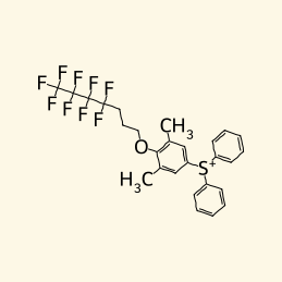 Cc1cc([S+](c2ccccc2)c2ccccc2)cc(C)c1OCCCC(F)(F)C(F)(F)C(F)(F)C(F)(F)F